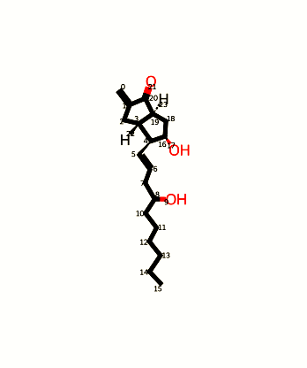 C=C1C[C@H]2[C@H](/C=C/CC(O)CCCCCC)[C@H](O)C[C@@H]2C1=O